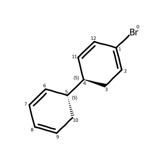 BrC1=CC[C@@H]([C@H]2C=CC=CC2)C=C1